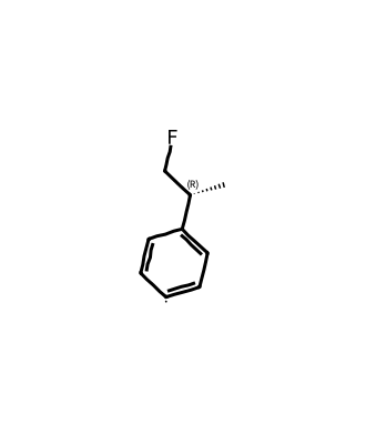 C[C@@H](CF)c1cc[c]cc1